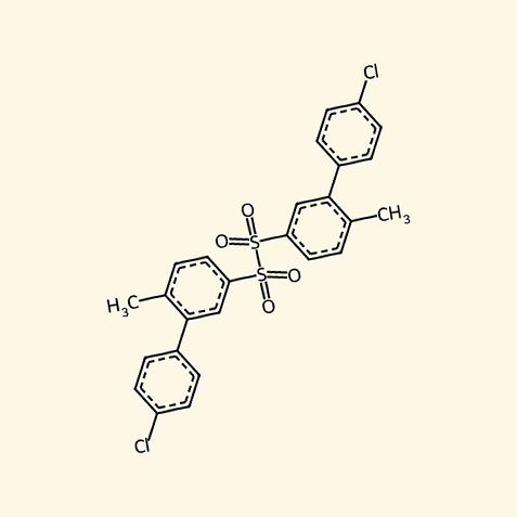 Cc1ccc(S(=O)(=O)S(=O)(=O)c2ccc(C)c(-c3ccc(Cl)cc3)c2)cc1-c1ccc(Cl)cc1